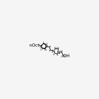 CCCCCCCCc1ccc(CCN2CCN(CCO)CC2)cc1